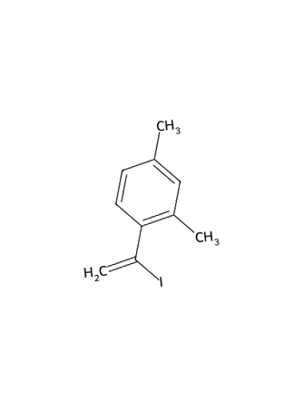 C=C(I)c1ccc(C)cc1C